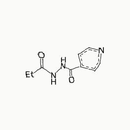 CCC(=O)NNC(=O)c1ccncc1